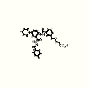 O=C(O)CCSCc1cccc(C(=O)Nc2ccc(N3CCCCC3)cc2C(=O)NN=Cc2ccc(F)cc2)c1